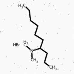 Br.CCCCCCC(CCC)N(C)C